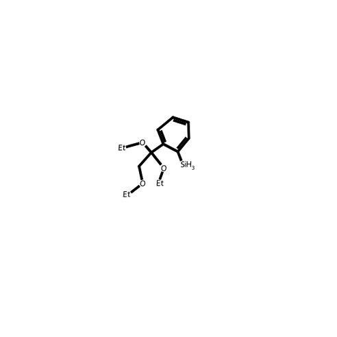 CCOCC(OCC)(OCC)c1ccccc1[SiH3]